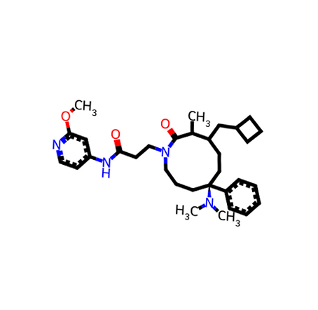 COc1cc(NC(=O)CCN2CCC[C@](c3ccccc3)(N(C)C)CCC(CC3CCC3)C(C)C2=O)ccn1